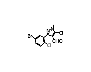 Cn1nc(-c2cc(Br)ccc2Cl)c(C=O)c1Cl